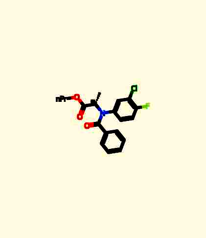 CCCOC(=O)[C@H](C)N(C(=O)c1ccccc1)c1ccc(F)c(Cl)c1